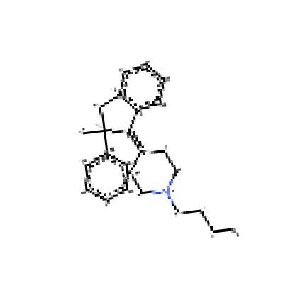 CCCCN1CCC(=C2c3ccccc3CC2(C)c2ccccc2)CC1